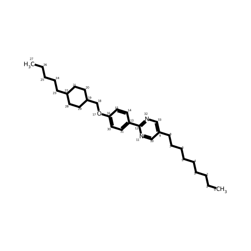 CCCCCCCCCc1cnc(-c2ccc(OCC3CCC(CCCCC)CC3)cc2)nc1